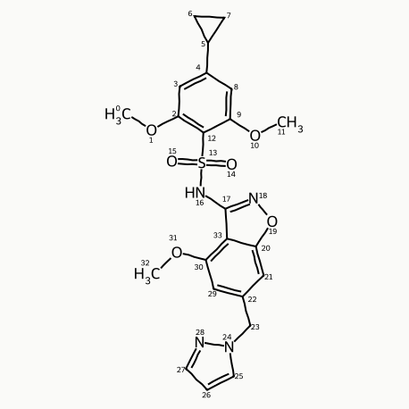 COc1cc(C2CC2)cc(OC)c1S(=O)(=O)Nc1noc2cc(Cn3cccn3)cc(OC)c12